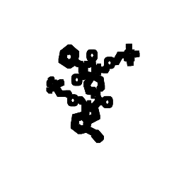 C#Cc1cccc2c1cc(C(=O)N1CCC3(CC1)C(=O)N(c1ccccc1)C(=O)N3COCC[Si](C)(C)C)n2COCC[Si](C)(C)C